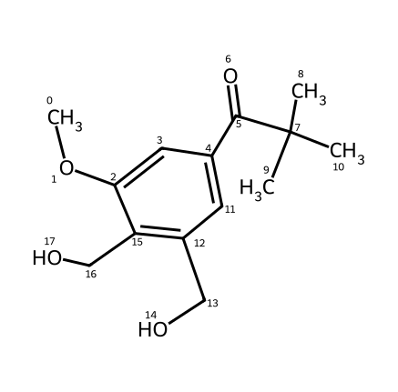 COc1cc(C(=O)C(C)(C)C)cc(CO)c1CO